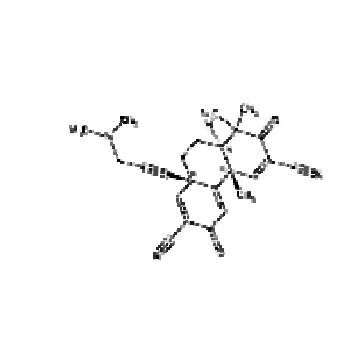 CN(C)CC#C[C@]12C=C(C#N)C(=O)C=C1[C@@]1(C)C=C(C#N)C(=O)C(C)(C)[C@@H]1CC2